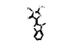 CC[N+]1=C(SC)S/C(=C2/Sc3ccccc3N2C)C1=O